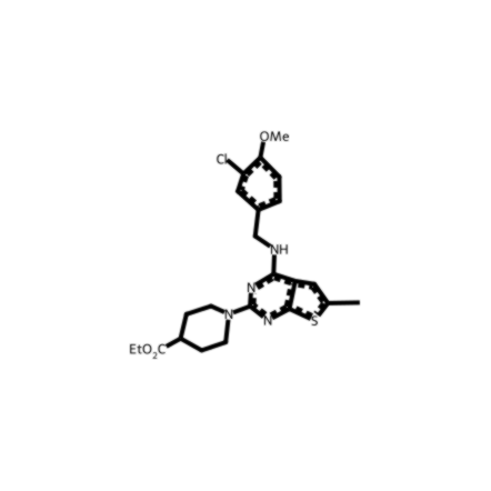 CCOC(=O)C1CCN(c2nc(NCc3ccc(OC)c(Cl)c3)c3cc(C)sc3n2)CC1